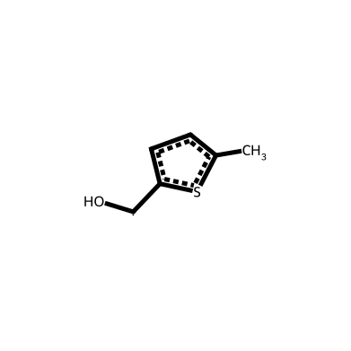 Cc1ccc([CH]O)s1